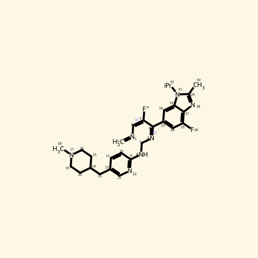 C=N/C=C(F)\C(=N/CNc1ccc(CC2CCN(C)CC2)cn1)c1cc(F)c2nc(C)n(C(C)C)c2c1